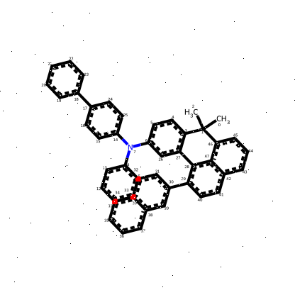 CC1(C)c2ccc(N(c3ccccc3)c3ccc(-c4ccccc4)cc3)cc2-c2c(-c3ccc4ccccc4c3)ccc3cccc1c23